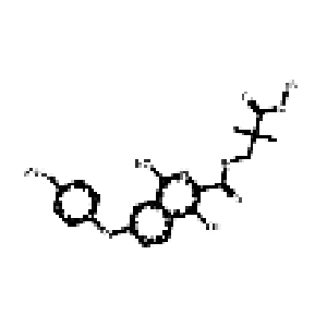 COc1ccc(Oc2ccc3c(O)c(C(=O)NCC(C)(C)C(=O)OC(C)(C)C)nc(C#N)c3c2)cc1